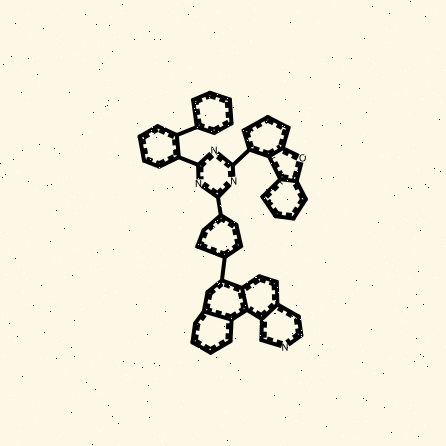 c1ccc(-c2ccccc2-c2nc(-c3ccc(-c4cc5ccccc5c5c4ccc4ccncc45)cc3)nc(-c3cccc4oc5ccccc5c34)n2)cc1